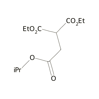 CCOC(=O)C(CC(=O)OC(C)C)C(=O)OCC